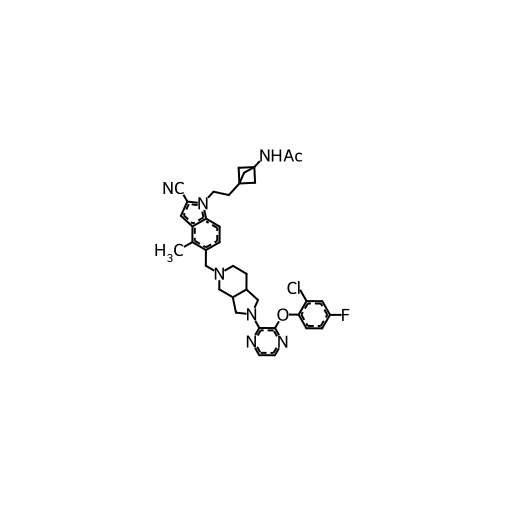 CC(=O)NC12CC(CCn3c(C#N)cc4c(C)c(CN5CCC6CN(c7nccnc7Oc7ccc(F)cc7Cl)CC6C5)ccc43)(C1)C2